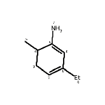 CCC1=CCC(C)C(N)=C1